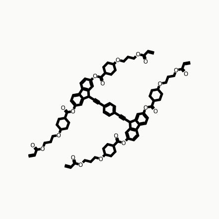 C=CC(=O)OCCCOC1CCC(C(=O)Oc2ccc3c(c2)C(C#Cc2ccc(C#CC4c5cc(OC(=O)C6CCC(OCCCOC(=O)C=C)CC6)ccc5-c5ccc(OC(=O)C6CCC(OCCCOC(=O)C=C)CC6)cc54)cc2)c2cc(OC(=O)C4CCC(OCCCOC(=O)C=C)CC4)ccc2-3)CC1